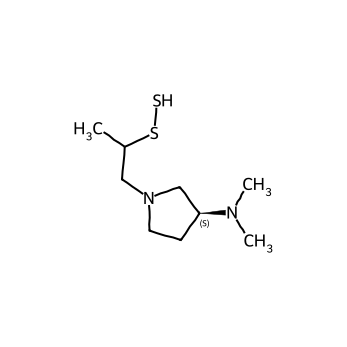 CC(CN1CC[C@H](N(C)C)C1)SS